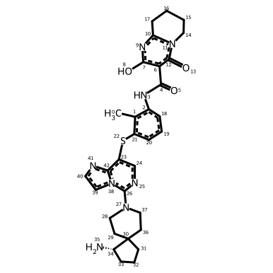 Cc1c(NC(=O)c2c(O)nc3n(c2=O)CCCC3)cccc1Sc1cnc(N2CCC3(CCC[C@@H]3N)CC2)n2ccnc12